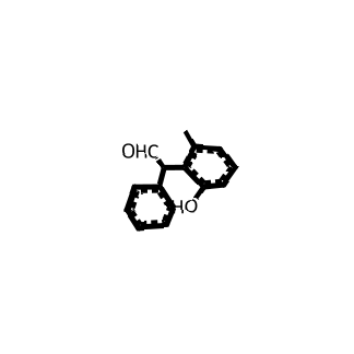 Cc1cccc(O)c1C(C=O)c1ccccc1